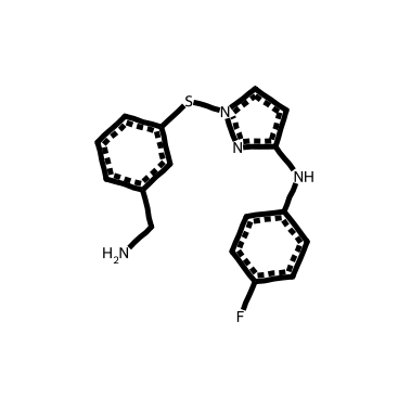 NCc1cccc(Sn2ccc(Nc3ccc(F)cc3)n2)c1